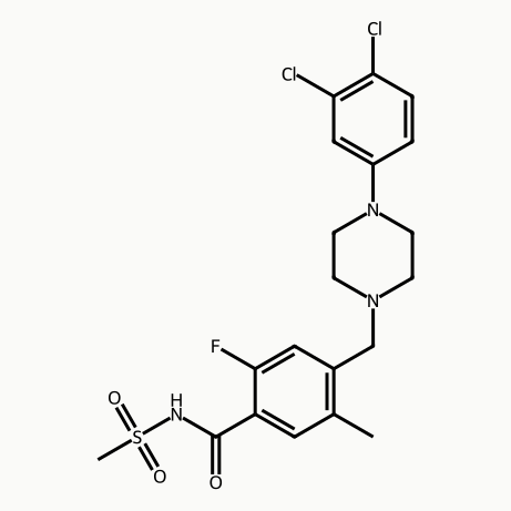 Cc1cc(C(=O)NS(C)(=O)=O)c(F)cc1CN1CCN(c2ccc(Cl)c(Cl)c2)CC1